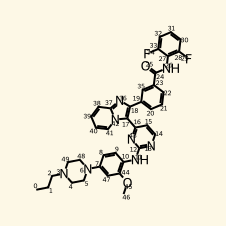 CCCN1CCN(c2ccc(Nc3nccc(-c4c(-c5cccc(C(=O)Nc6c(F)cccc6F)c5)nc5ccccn45)n3)c(OC)c2)CC1